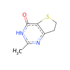 Cc1nc2c(c(=O)[nH]1)SCC2